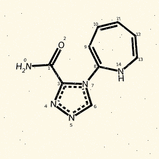 NC(=O)c1nncn1C1=CC=CC=CN1